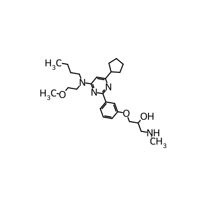 CCCCN(CCOC)c1cc(C2CCCC2)nc(-c2cccc(OCC(O)CNC)c2)n1